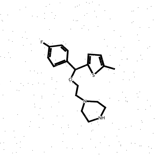 Cc1ccc(C(OCCN2CCNCC2)c2ccc(F)cc2)s1